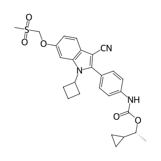 C[C@@H](OC(=O)Nc1ccc(-c2c(C#N)c3ccc(OCS(C)(=O)=O)cc3n2C2CCC2)cc1)C1CC1